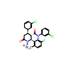 Cc1ccc(F)cc1[C@@H]1[C@@H](C(=O)Nc2cccc(Cl)c2)[C@H](C2C=C(Cl)C=CC2)CC(=O)N1C